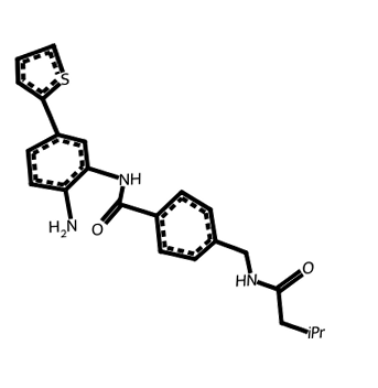 CC(C)CC(=O)NCc1ccc(C(=O)Nc2cc(-c3cccs3)ccc2N)cc1